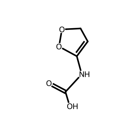 O=C(O)NC1=CCOO1